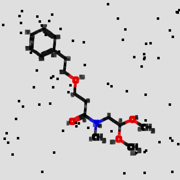 COC(CN(C)C(=O)CCOCCc1ccccc1)OC